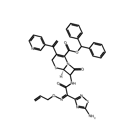 C=CCO/N=C(\C(=O)NC1C(=O)N2C(C(=O)OC(c3ccccc3)c3ccccc3)=C(C(=C)c3cccnc3)CS[C@H]12)c1nsc(N)n1